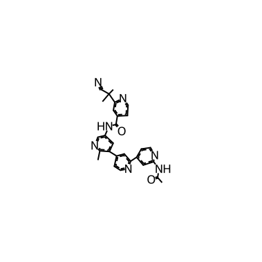 CC(=O)Nc1cc(-c2cc(-c3cc(NC(=O)c4ccnc(C(C)(C)C#N)c4)cnc3C)ccn2)ccn1